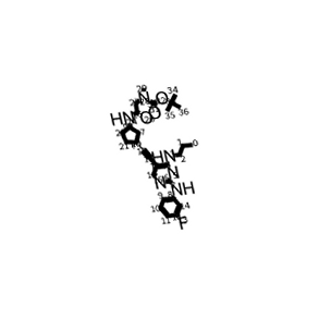 CCCNc1nc(Nc2cccc(F)c2)ncc1C#C[C@@H]1CC[C@H](NC(=O)CN(C)C(=O)OC(C)(C)C)C1